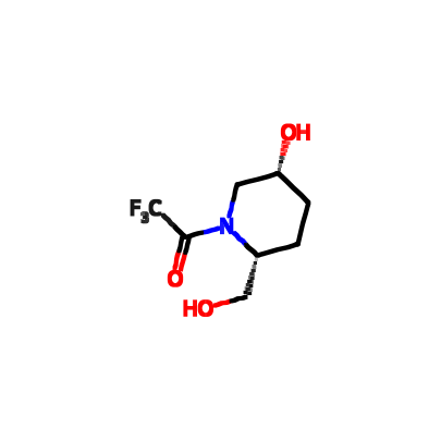 O=C(N1C[C@H](O)CC[C@@H]1CO)C(F)(F)F